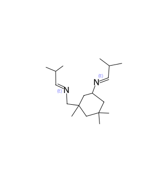 CC(C)/C=N/CC1(C)CC(/N=C/C(C)C)CC(C)(C)C1